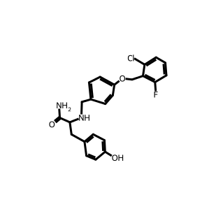 NC(=O)C(Cc1ccc(O)cc1)NCc1ccc(OCc2c(F)cccc2Cl)cc1